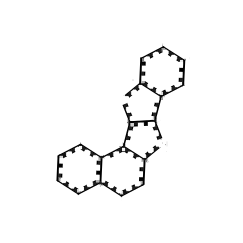 c1ccc2c(c1)ccc1[nH]c3c4ccccc4sc3c12